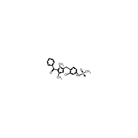 Cc1cc(Cc2ccc(NS(C)(=O)=O)cc2Cl)n(C)c1C(=O)c1ccccc1